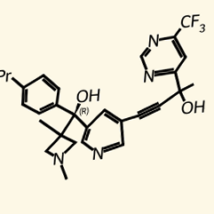 CC(C)c1ccc([C@](O)(c2cncc(C#CC(C)(O)c3cc(C(F)(F)F)ncn3)c2)C2(C)CN(C)C2)cc1